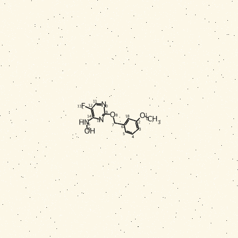 COc1cccc(COc2ncc(F)c(NO)n2)c1